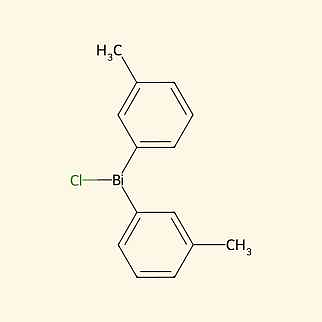 Cc1ccc[c]([Bi]([Cl])[c]2cccc(C)c2)c1